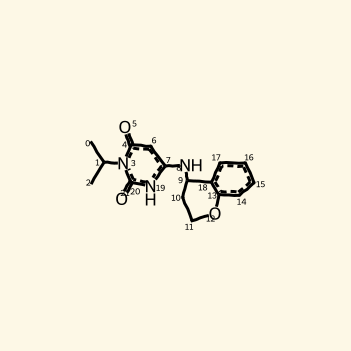 CC(C)n1c(=O)cc(NC2CCOc3ccccc32)[nH]c1=O